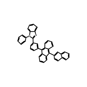 c1ccc(-n2c(-c3cccc(-c4c5ccccc5c(-c5ccc6ccccc6c5)c5ccccc45)c3)nc3ccccc32)cc1